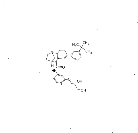 CC(C)(C)c1cccc(-c2ccc3c(c2)N(C(=O)Nc2ccnc(OC[C@H](O)CO)c2)[C@H]2CCN3C2)c1